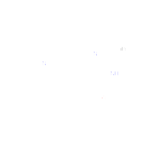 CC(C)c1nc2cc(N3CCCC3)ccc2c(=O)[nH]1